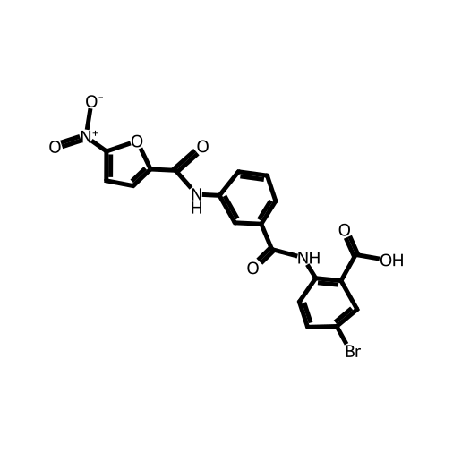 O=C(Nc1ccc(Br)cc1C(=O)O)c1cccc(NC(=O)c2ccc([N+](=O)[O-])o2)c1